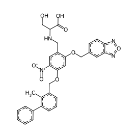 Cc1c(COc2cc(OCc3ccc4nonc4c3)c(CNC(CO)C(=O)O)cc2[N+](=O)[O-])cccc1-c1ccccc1